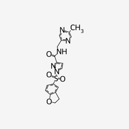 Cc1cnc(CNC(=O)c2ccn(S(=O)(=O)c3ccc4c(c3)CCO4)n2)cn1